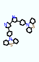 c1ccc2c(c1)Sc1ccccc1N2c1ccc(-c2cncc(-c3cncc(-c4ccc(N5c6ccccc6Sc6ccccc65)cc4)c3)c2)cc1